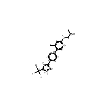 Cc1cc(OCC(C)C)ncc1-c1ccc(-c2n[nH]c(C(F)(F)F)n2)cc1